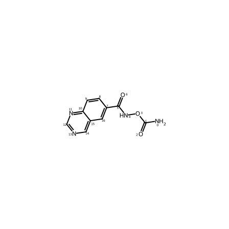 NC(=O)ONC(=O)c1ccc2ncncc2c1